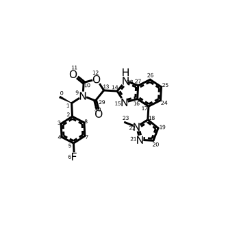 C[C@H](c1ccc(F)cc1)N1C(=O)OC(c2nc3c(-c4ccnn4C)cccc3[nH]2)C1=O